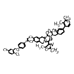 Cc1nc(C(=O)N2Cc3cc4c(cc3C[C@H]2C(=O)NC(Cc2ccc(-c3ccnc(C)c3C)cc2)C(=O)O)OC[C@H](c2ccc(OCc3cc(Cl)ccc3Cl)cc2)O4)c(C)o1